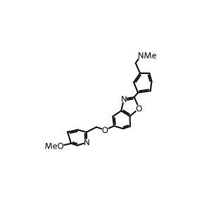 CNCc1cccc(-c2nc3cc(OCc4ccc(OC)cn4)ccc3o2)c1